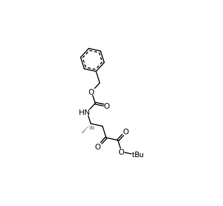 C[C@@H](CC(=O)C(=O)OC(C)(C)C)NC(=O)OCc1ccccc1